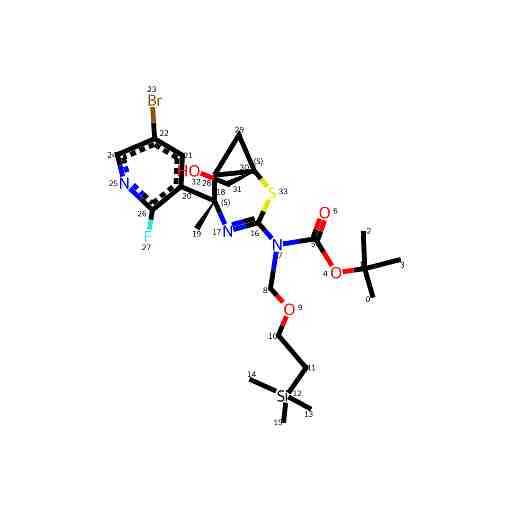 CC(C)(C)OC(=O)N(COCC[Si](C)(C)C)C1=N[C@](C)(c2cc(Br)cnc2F)C2C[C@]2(CO)S1